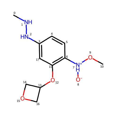 CNNc1ccc([NH+]([O-])OC)c(OC2COC2)c1